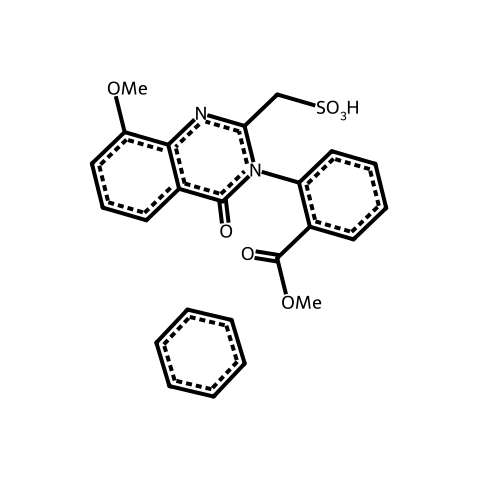 COC(=O)c1ccccc1-n1c(CS(=O)(=O)O)nc2c(OC)cccc2c1=O.c1ccccc1